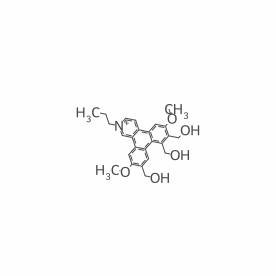 CCC[n+]1ccc2c(c1)c1cc(OC)c(CO)cc1c1c(CO)c(CO)c(OC)cc21